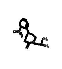 CC(C)CN1CCN(c2ccccc2[N+](=O)[O-])CCC1=O